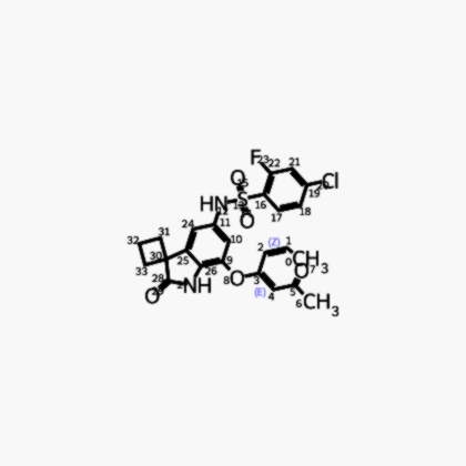 C/C=C\C(=C/C(C)=O)Oc1cc(NS(=O)(=O)c2ccc(Cl)cc2F)cc2c1NC(=O)C21CCC1